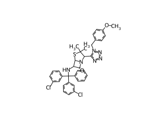 COc1ccc(Cn2nnnc2C2N3C(=O)C(NC(c4ccccc4)(c4cccc(Cl)c4)c4cccc(Cl)c4)C3SC2(C)C)cc1